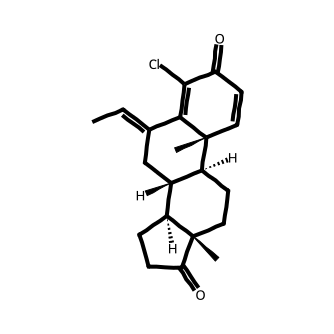 CC=C1C[C@@H]2[C@H](CC[C@]3(C)C(=O)CC[C@@H]23)[C@@]2(C)C=CC(=O)C(Cl)=C12